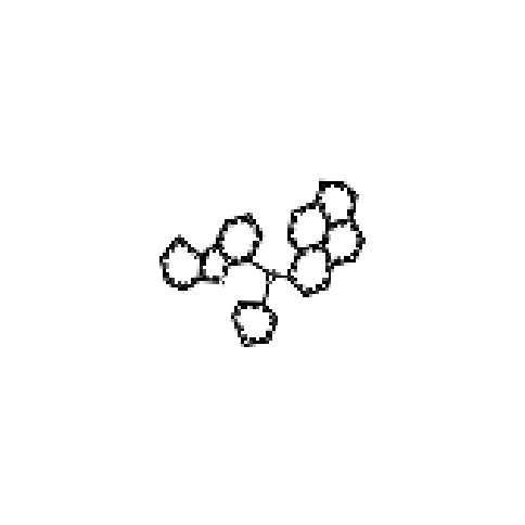 c1ccc(N(c2ccc3ccc4cccc5ccc2c3c45)c2cccc3c2sc2ccccc23)cc1